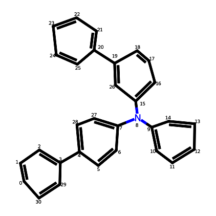 c1ccc(-c2ccc(N(c3ccccc3)c3cccc(-c4ccccc4)c3)cc2)cc1